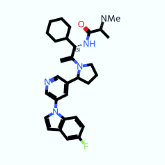 C=C([C@@H](NC(=O)C(C)NC)C1CCCCC1)N1CCCC1c1cncc(-n2ccc3cc(F)ccc32)c1